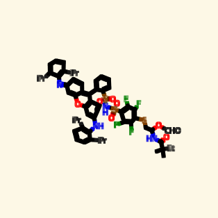 CCC(C)(C)C(=O)NC(CSc1c(F)c(F)c(S(=O)(=O)NS(=O)(=O)c2ccccc2-c2c3cc/c(=N\c4c(C(C)C)cccc4C(C)C)cc-3oc3cc(Nc4c(C(C)C)cccc4C(C)C)ccc23)c(F)c1F)OC=O